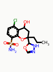 CCCC1(C2NN=CO2)CC(O)c2c(Cl)ccc(S(N)(=O)=O)c2O1